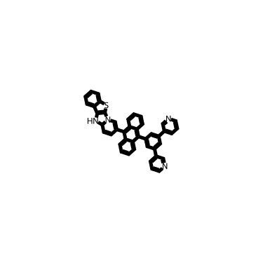 C1=CC2Nc3c(sc4ccccc34)N2C=C1c1c2ccccc2c(-c2cc(-c3cccnc3)cc(-c3cccnc3)c2)c2ccccc12